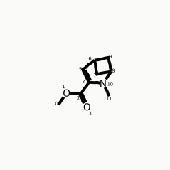 COC(=O)C1=CC2CC(C2)N1C